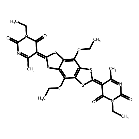 CCOc1c2c(c(OCC)c3c1SC(=C1C(=O)N(CC)C(=O)N=C1C)S3)SC(=C1C(=O)N(CC)C(=O)N=C1C)S2